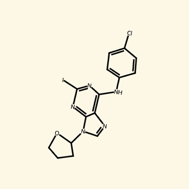 Clc1ccc(Nc2nc(I)nc3c2ncn3C2CCCO2)cc1